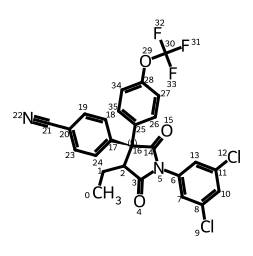 CCC1C(=O)N(c2cc(Cl)cc(Cl)c2)C(=O)[C@@]1(c1ccc(C#N)cc1)c1ccc(OC(F)(F)F)cc1